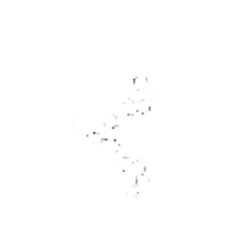 CC1(C)c2ccc(-c3ccc4c(ccc5ccc6ccccc6c54)c3)nc2-c2nc(-c3ccc4c(ccc5ccc6ccccc6c54)c3)ccc21